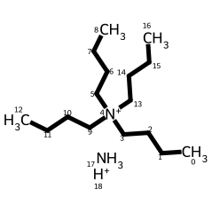 CCCC[N+](CCCC)(CCCC)CCCC.N.[H+]